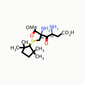 COC(=O)[C@@](N)(CSC1C(C)(C)CCC1(C)C)C(=O)[C@@H](N)CC(=O)O